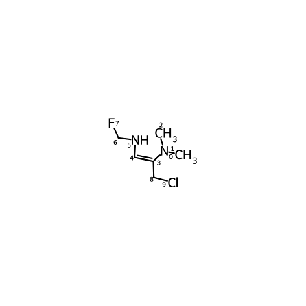 CN(C)/C(=C\NCF)CCl